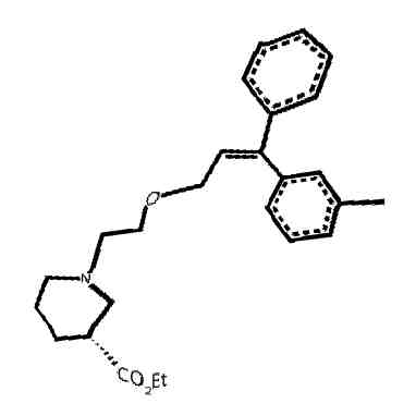 CCOC(=O)[C@@H]1CCCN(CCOCC=C(c2ccccc2)c2cccc(C)c2)C1